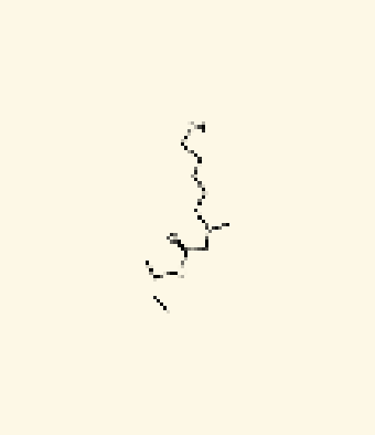 CCC(C)OC(=O)CC(C)CCCCCO